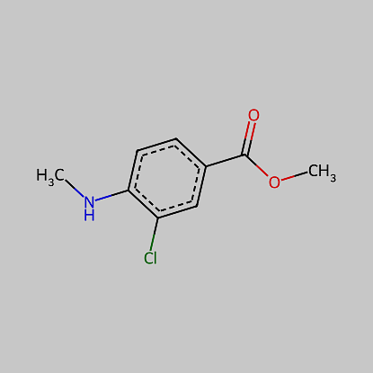 CNc1ccc(C(=O)OC)cc1Cl